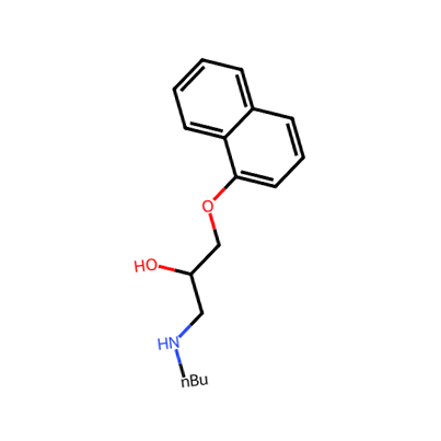 CCCCNCC(O)COc1cccc2ccccc12